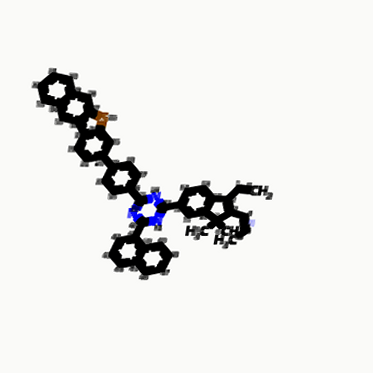 C=CC1=C(/C=C\C)C(C)(C)c2cc(-c3nc(-c4ccc(-c5ccc6c(c5)sc5cc7ccccc7cc56)cc4)nc(-c4cccc5ccccc45)n3)ccc21